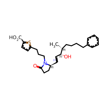 C[C@H](CCCCc1ccccc1)[C@H](O)/C=C/[C@H]1CCC(=O)N1CCCc1ccc(C(=O)O)s1